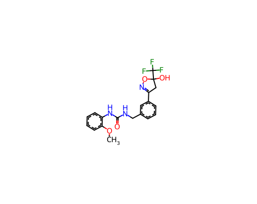 COc1ccccc1NC(=O)NCc1cccc(C2=NOC(O)(C(F)(F)F)C2)c1